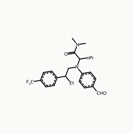 CCCC(C(=O)N(C)C)N(CC(CC)c1ccc(C(F)(F)F)cc1)c1ccc(C=O)cc1